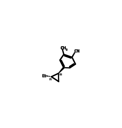 CC[C@H]1C[C@@H]1c1ccc(C#N)c(C)c1